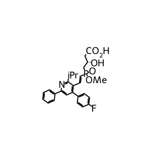 COP(=O)(/C=C/c1c(-c2ccc(F)cc2)cc(-c2ccccc2)nc1C(C)C)C[C@@H](O)CC(=O)O